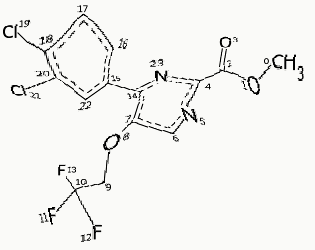 COC(=O)c1ncc(OCC(F)(F)F)c(-c2ccc(Cl)c(Cl)c2)n1